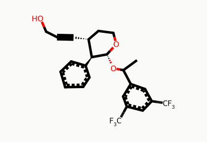 CC(O[C@H]1OCC[C@@H](C#CCO)[C@@H]1c1ccccc1)c1cc(C(F)(F)F)cc(C(F)(F)F)c1